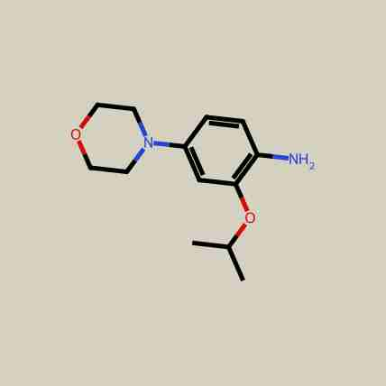 CC(C)Oc1cc(N2CCOCC2)ccc1N